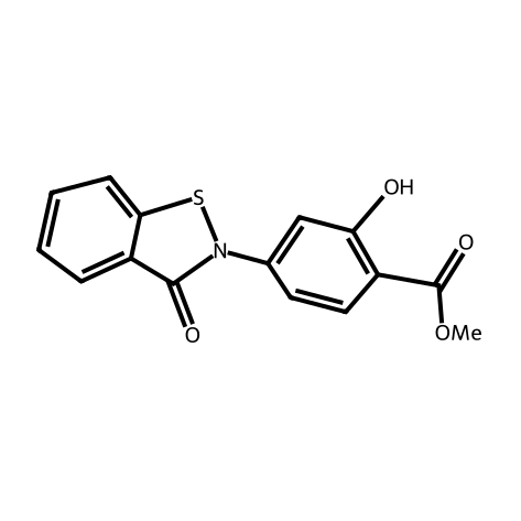 COC(=O)c1ccc(-n2sc3ccccc3c2=O)cc1O